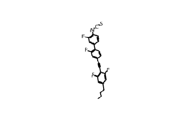 CCCCc1cc(F)c(C#Cc2ccc(-c3ccc(N=C=S)c(F)c3)c(F)c2)c(F)c1